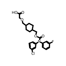 O=C(O)COCC1CCC(COC(=O)N(c2cccc(F)c2)c2cccc(Cl)c2)CC1